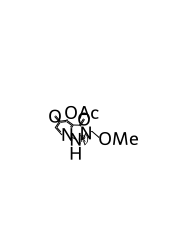 COCCN1C(=O)c2c(OC(C)=O)c(=O)ccn2N[C@@H]1C